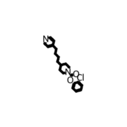 O=C(Oc1ccccc1Cl)N1CCC(CCCCc2ccncc2)CC1